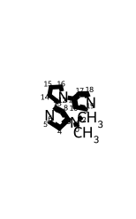 CN(C)c1ccncc1.c1cc(N2CCCC2)ccn1